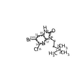 C[Si](C)(C)CCn1c(=O)[nH]c2cc(Br)c(Cl)nc21